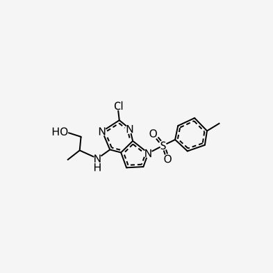 Cc1ccc(S(=O)(=O)n2ccc3c(NC(C)CO)nc(Cl)nc32)cc1